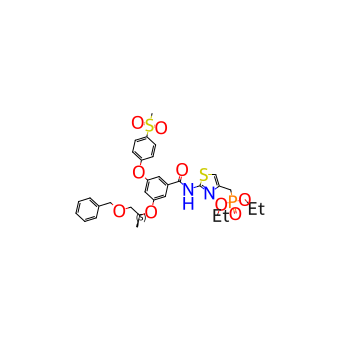 CCOP(=O)(Cc1csc(NC(=O)c2cc(Oc3ccc(S(C)(=O)=O)cc3)cc(O[C@@H](C)COCc3ccccc3)c2)n1)OCC